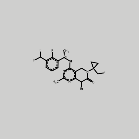 Cc1nc(N[C@H](C)c2cccc(C(F)F)c2F)c2c(n1)C(Br)C(=O)N(C1(CF)CC1)C2